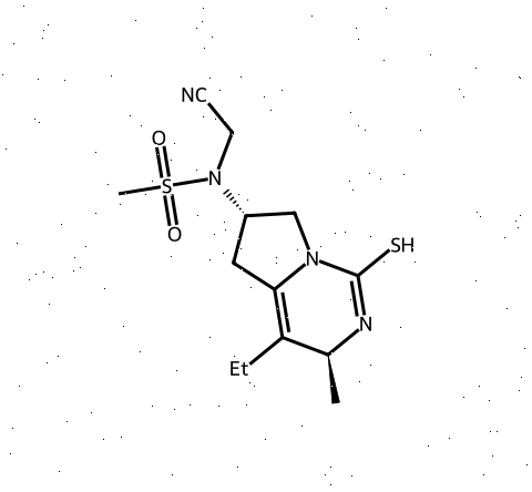 CCC1=C2C[C@H](N(CC#N)S(C)(=O)=O)CN2C(S)=N[C@H]1C